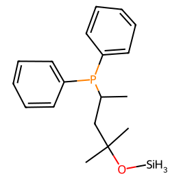 CC(CC(C)(C)O[SiH3])P(c1ccccc1)c1ccccc1